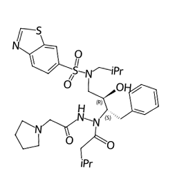 CC(C)CC(=O)N(NC(=O)CN1CCCC1)[C@@H](Cc1ccccc1)[C@H](O)CN(CC(C)C)S(=O)(=O)c1ccc2ncsc2c1